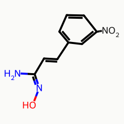 NC(C=Cc1cccc([N+](=O)[O-])c1)=NO